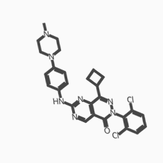 CN1CCN(c2ccc(Nc3ncc4c(=O)n(-c5c(Cl)cccc5Cl)nc(C5CCC5)c4n3)cc2)CC1